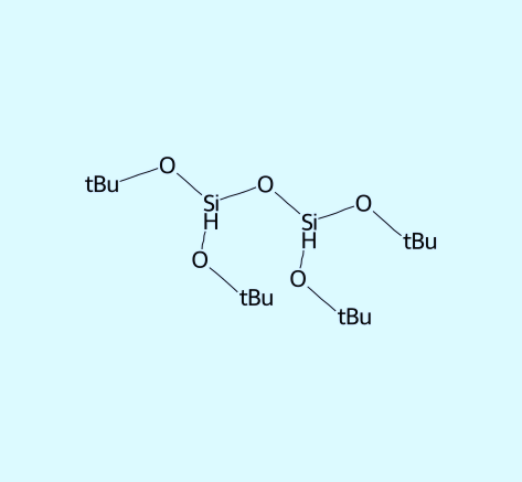 CC(C)(C)O[SiH](O[SiH](OC(C)(C)C)OC(C)(C)C)OC(C)(C)C